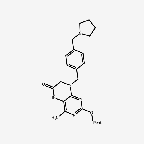 CCCC(C)Oc1nc(N)c2c(n1)N(Cc1ccc(CN3CCCC3)cc1)CC(=O)N2